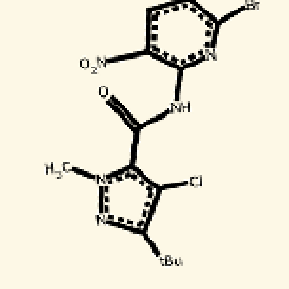 Cn1nc(C(C)(C)C)c(Cl)c1C(=O)Nc1nc(Br)ccc1[N+](=O)[O-]